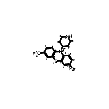 FC(F)(F)c1ccc2c(c1)Sc1cc(Br)ccc1N2C1CCNCC1